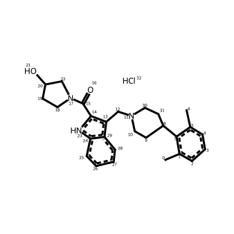 Cc1cccc(C)c1C1CCN(Cc2c(C(=O)N3CCC(O)C3)[nH]c3ccccc23)CC1.Cl